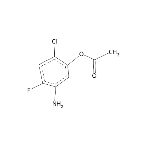 CC(=O)Oc1cc(N)c(F)cc1Cl